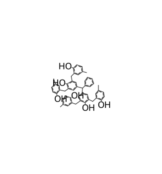 Cc1ccc(O)c(Cc2cc(C(c3ccccc3)c3cc(Cc4cc(C)ccc4O)c(O)c(Cc4cc(C)ccc4O)c3)cc(Cc3cc(C)ccc3O)c2O)c1